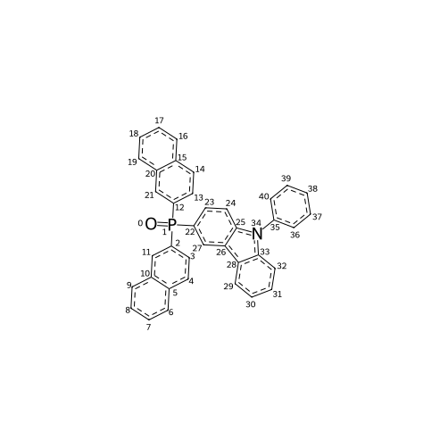 O=P(c1ccc2ccccc2c1)(c1ccc2ccccc2c1)c1ccc2c(c1)c1ccccc1n2-c1ccccc1